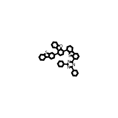 c1ccc(-c2nc(-c3ccccc3)nc(-c3cccc4c3sc3c(-c5ccc(-c6ccc7c(c6)sc6ccccc67)c6c5oc5ccccc56)cccc34)n2)cc1